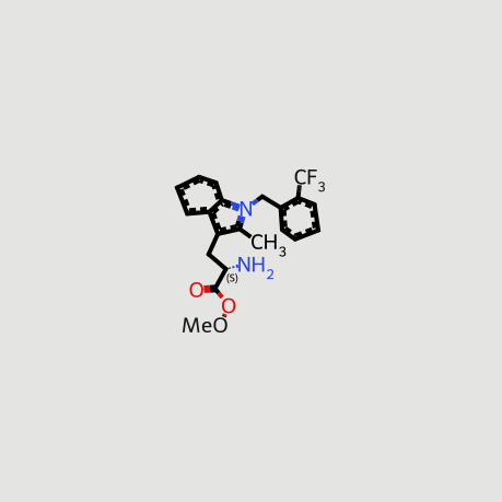 COOC(=O)[C@@H](N)Cc1c(C)n(Cc2ccccc2C(F)(F)F)c2ccccc12